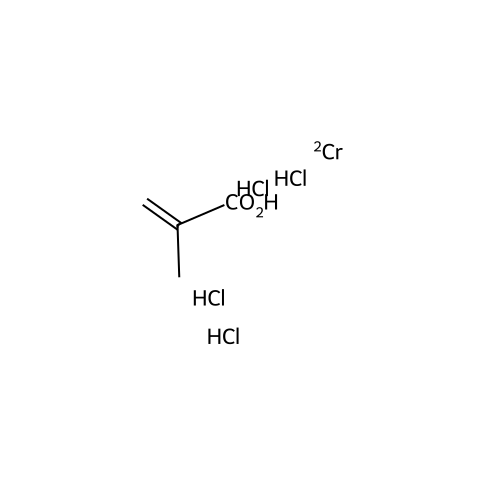 C=C(C)C(=O)O.Cl.Cl.Cl.Cl.[2Cr]